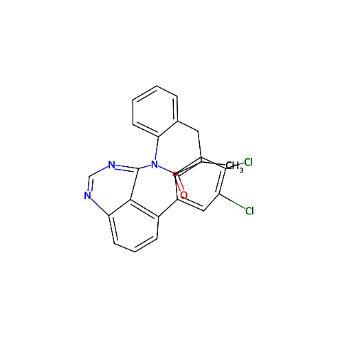 CC1Cc2ccccc2N(c2ncnc3cccc(-c4ccc(Cl)c(Cl)c4)c23)C1=O